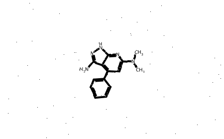 CN(C)c1cc(-c2ccccc2)c2c(N)n[nH]c2n1